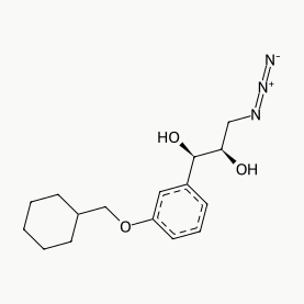 [N-]=[N+]=NC[C@@H](O)[C@H](O)c1cccc(OCC2CCCCC2)c1